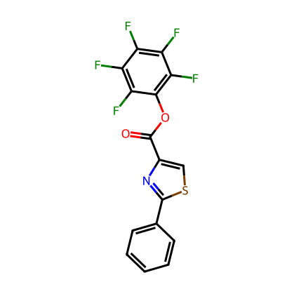 O=C(Oc1c(F)c(F)c(F)c(F)c1F)c1csc(-c2ccccc2)n1